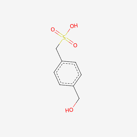 O=S(=O)(O)Cc1ccc(CO)cc1